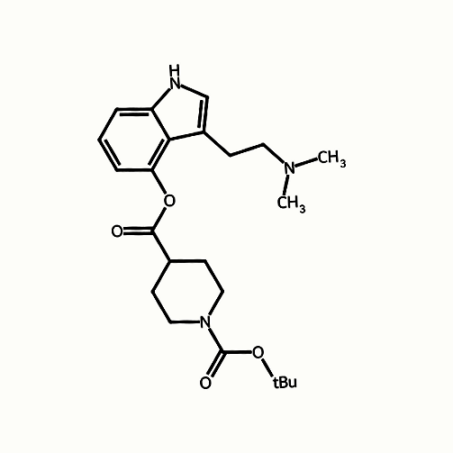 CN(C)CCc1c[nH]c2cccc(OC(=O)C3CCN(C(=O)OC(C)(C)C)CC3)c12